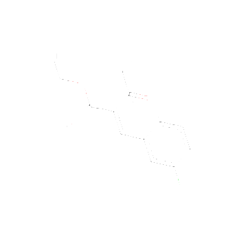 CCOC(=O)/C(=C/c1cccc(Cl)c1)C(=O)CCl